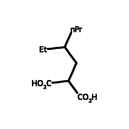 CCCC(CC)CC(C(=O)O)C(=O)O